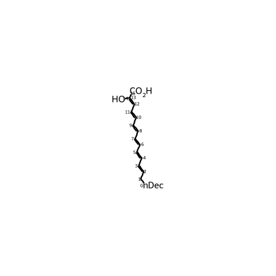 CCCCCCCCCCCC=CC=CC=CC=CC=CC=C(O)C(=O)O